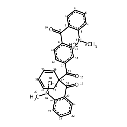 CN(C)c1ccccc1C(=O)c1ccc(C(=O)C2(C(=O)c3ccccc3N(C)C)C=CC=CC2)cc1